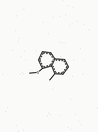 CSc1cccc2cccc(C)c12